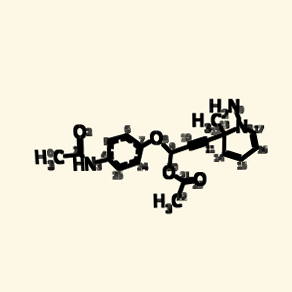 CC(=O)Nc1ccc(OC(C#CC2(C)C=CC=CN2N)OC(C)=O)cc1